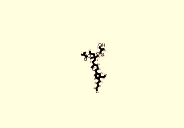 C=C(C)C(=O)OCC(CCC)(CCC1CCC(c2ccc(CCCCC)c(CC)c2)CC1)COC(=O)C(=C)CO